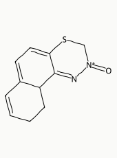 O=[N+]1CSC2=CC=C3C=CCCC3C2=N1